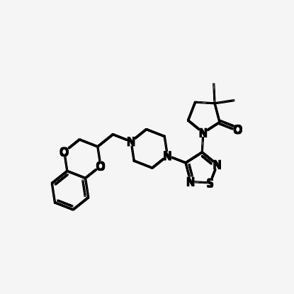 CC1(C)CCN(c2nsnc2N2CCN(CC3COc4ccccc4O3)CC2)C1=O